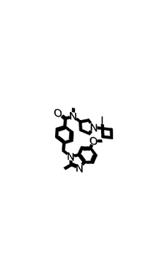 COc1ccc2nc(C)n(Cc3ccc(C(=O)N(C)C4CCN(C5(I)CCC5)C4)cc3)c2c1